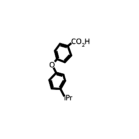 CC(C)c1ccc(Oc2ccc(C(=O)O)cc2)cc1